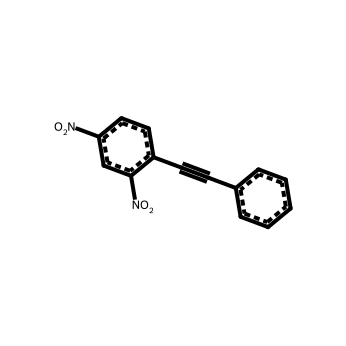 O=[N+]([O-])c1ccc(C#Cc2ccccc2)c([N+](=O)[O-])c1